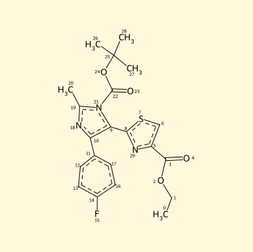 CCOC(=O)c1csc(-c2c(-c3ccc(F)cc3)nc(C)n2C(=O)OC(C)(C)C)n1